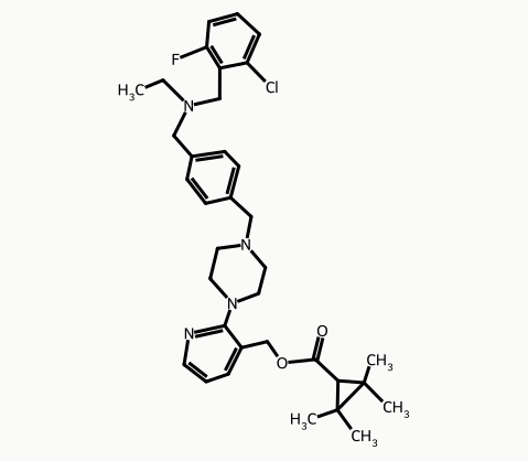 CCN(Cc1ccc(CN2CCN(c3ncccc3COC(=O)C3C(C)(C)C3(C)C)CC2)cc1)Cc1c(F)cccc1Cl